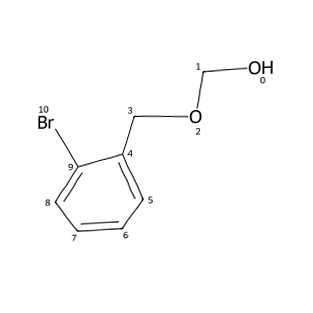 OCOCc1ccccc1Br